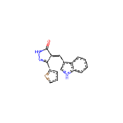 O=C1NN=C(c2cccs2)C1=Cc1c[nH]c2ccccc12